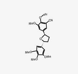 CCCOc1c(C#N)cc([C@H]2CC[C@H](c3cc(OC)c(OC)c(OC)c3)O2)cc1OC